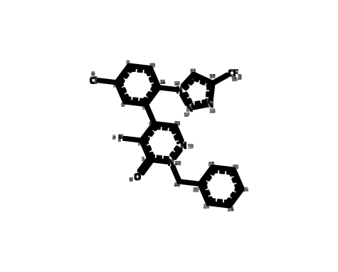 O=c1c(F)c(-c2cc(Cl)ccc2-n2cc(C(F)(F)F)nn2)cnn1Cc1ccccc1